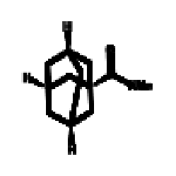 CNC(=O)[C@]12C[C@H]3C[C@H](C[C@H](C3)C1)C2